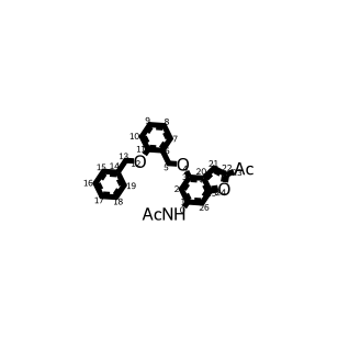 CC(=O)Nc1cc(OCc2ccccc2OCc2ccccc2)c2cc(C(C)=O)oc2c1